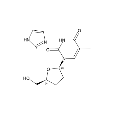 Cc1cn([C@H]2CC[C@@H](CO)O2)c(=O)[nH]c1=O.c1c[nH]nn1